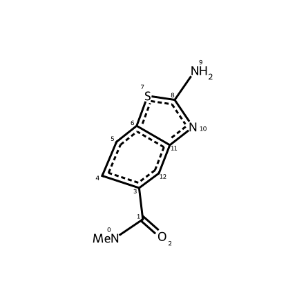 CNC(=O)c1ccc2sc(N)nc2c1